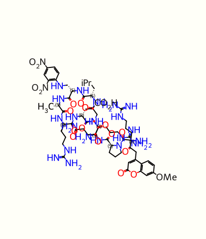 COc1ccc2c(CC(=O)[C@@](N)(CCCNC(=N)N)C(=O)N3CCC[C@H]3C(=O)N[C@@H](CCC(N)=O)C(=O)NCC(=O)N[C@@H](CC(C)C)C(=O)N[C@@H](CNc3ccc([N+](=O)[O-])cc3[N+](=O)[O-])C(=O)N[C@@H](C)C(=O)N[C@H](CCCNC(=N)N)C(=O)N[C@H](CCC(=O)O)C(=O)N[C@H](CCCNC(=N)N)C(N)=O)cc(=O)oc2c1